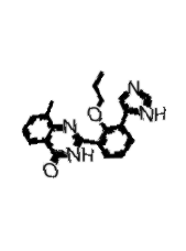 CCCOc1c(-c2cnc[nH]2)cccc1-c1nc2c(C)cccc2c(=O)[nH]1